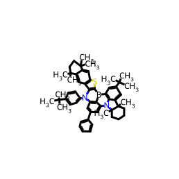 CC(C)(C)c1ccc(N2c3cc(-c4ccccc4)cc4c3B(c3cc(C(C)(C)C)cc5c3N4C3(C)CCCCC53C)c3sc4cc5c(cc4c32)C(C)(C)CCC5(C)C)cc1